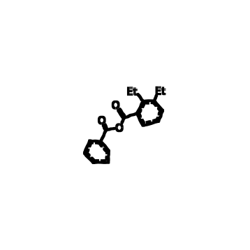 CCc1cccc(C(=O)OC(=O)c2ccccc2)c1CC